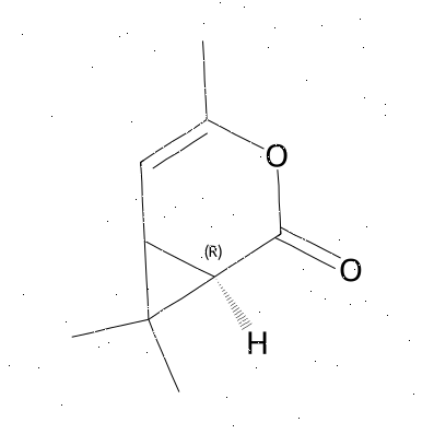 CC1=CC2[C@@H](C(=O)O1)C2(C)C